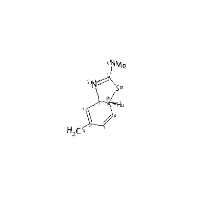 CNC1=NC2C=C(C)C=C[C@H]2S1